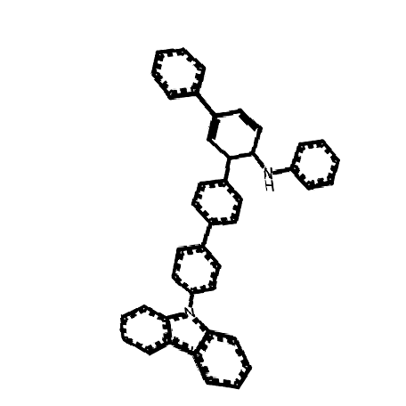 C1=CC(Nc2ccccc2)C(c2ccc(-c3ccc(-n4c5ccccc5c5ccccc54)cc3)cc2)C=C1c1ccccc1